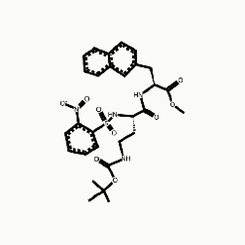 COC(=O)[C@H](Cc1ccc2ccccc2c1)NC(=O)[C@H](CCNC(=O)OC(C)(C)C)NS(=O)(=O)c1ccccc1[N+](=O)[O-]